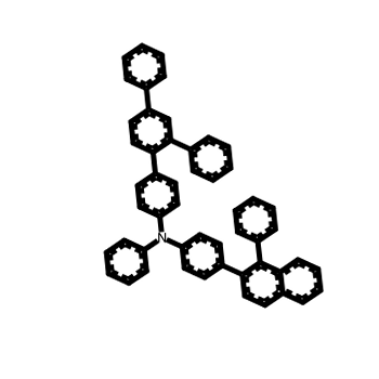 c1ccc(-c2ccc(-c3ccc(N(c4ccccc4)c4ccc(-c5ccc6ccccc6c5-c5ccccc5)cc4)cc3)c(-c3ccccc3)c2)cc1